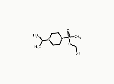 CC(C)N1CCN(P(C)(=O)OCS)CC1